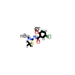 CCCCN1CC(C)(C)SC1=NC(=O)c1cc(Cl)ccc1OC(F)(F)F